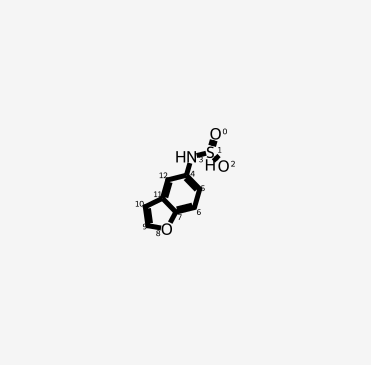 O=[SH](=O)Nc1ccc2occc2c1